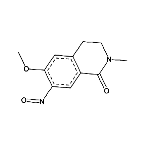 COc1cc2c(cc1N=O)C(=O)N(C)CC2